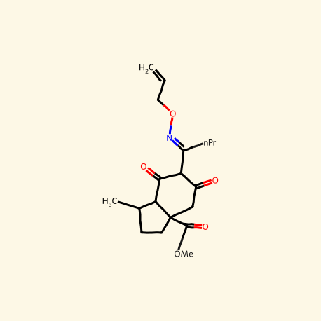 C=CCON=C(CCC)C1C(=O)CC2(C(=O)OC)CCC(C)C2C1=O